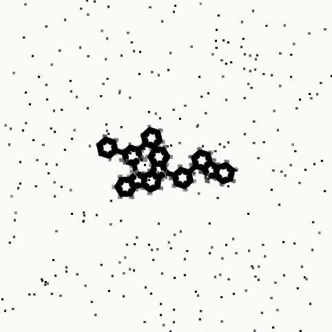 c1ccc(-c2cc(-c3ccccc3)nc(-n3c4ccccc4c4ccc5c(c6ccccc6n5-c5cccc(-c6cccc7c6oc6ccccc67)c5)c43)n2)cc1